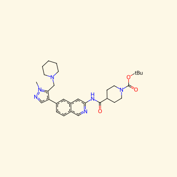 Cn1ncc(-c2ccc3cnc(NC(=O)C4CCN(C(=O)OC(C)(C)C)CC4)cc3c2)c1CN1CCCCC1